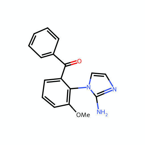 COc1cccc(C(=O)c2ccccc2)c1-n1ccnc1N